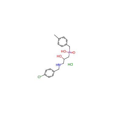 Cc1ccc(CP(=O)(O)CC(O)CNCc2ccc(Cl)cc2)cc1.Cl